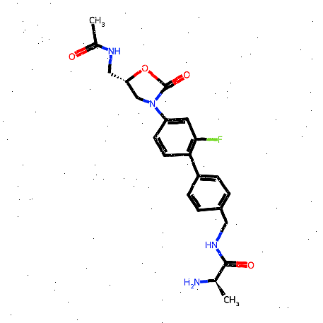 CC(=O)NC[C@H]1CN(c2ccc(-c3ccc(CNC(=O)[C@@H](C)N)cc3)c(F)c2)C(=O)O1